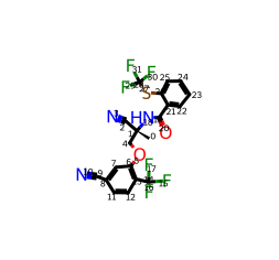 C[C@](C#N)(COc1cc(C#N)ccc1C(F)(F)F)NC(=O)c1ccccc1SC(F)(F)F